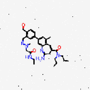 CCCN(CCC)C(=O)C1=Cc2c(C)cc(-c3ccc(C=O)c(/C=N\N(C)CC(=O)NCC)c3)cc2N=C(N)C1